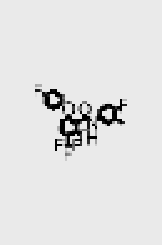 Cc1cc(NC(=O)c2c(Oc3ccc(F)cc3)ccc(C(F)(F)F)c2F)ccc1F